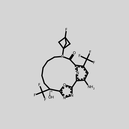 Nc1cc(C(F)(F)F)c2nc1-c1nnc(o1)[C@@](O)(C(F)(F)F)CCCCCN(C13CC(F)(C1)C3)C2=O